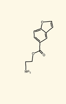 NCCOC(=O)c1ccc2occc2c1